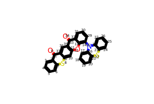 O=c1c2ccccc2sc2cc3oc4c(N5c6ccccc6Sc6ccccc65)cccc4c(=O)c3cc12